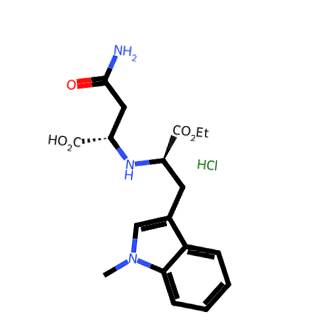 CCOC(=O)[C@@H](Cc1cn(C)c2ccccc12)N[C@@H](CC(N)=O)C(=O)O.Cl